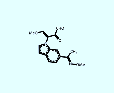 CO/C=C(/C(=O)C=O)n1ccc2ccc(/C(C)=N/OC)cc21